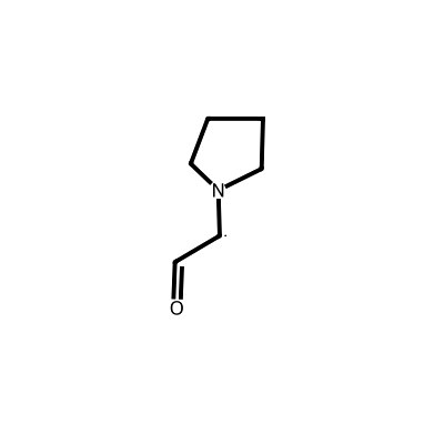 O=C[CH]N1CCCC1